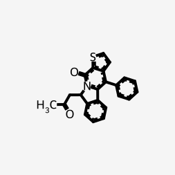 CC(=O)CC1c2ccccc2-c2c(-c3ccccc3)c3ccsc3c(=O)n21